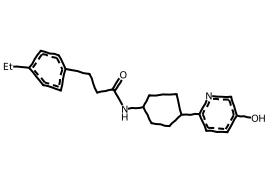 CCc1ccc(CCC(=O)NC2CCC(c3ccc(O)cn3)CC2)cc1